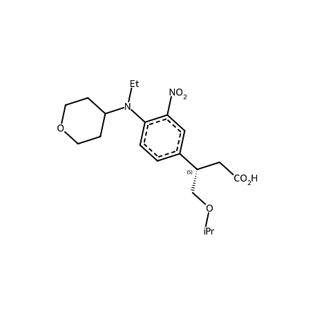 CCN(c1ccc([C@@H](COC(C)C)CC(=O)O)cc1[N+](=O)[O-])C1CCOCC1